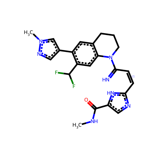 CNC(=O)c1cnc(/C=C\C(=N)N2CCCc3cc(-c4cnn(C)c4)c(C(F)F)cc32)[nH]1